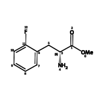 COC(=O)[C@H](N)Cc1ccccc1F